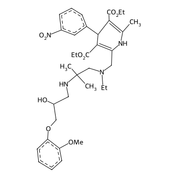 CCOC(=O)C1=C(C)NC(CN(CC)CC(C)(C)NCC(O)COc2ccccc2OC)=C(C(=O)OCC)C1c1cccc([N+](=O)[O-])c1